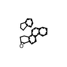 c1ccc2c(c1)CCC2.c1ccc2c(c1)ccc1c3c(ccc12)C1OC1CC3